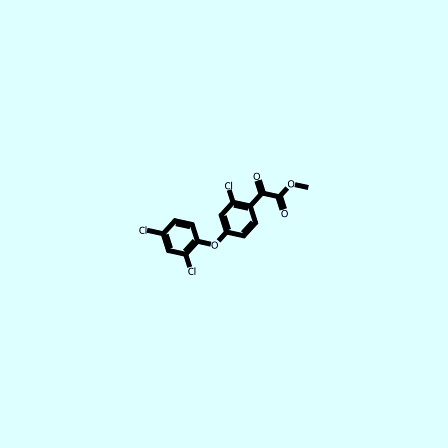 COC(=O)C(=O)c1ccc(Oc2ccc(Cl)cc2Cl)cc1Cl